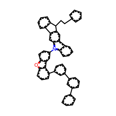 c1ccc(CCC2c3ccccc3-c3cc4c(cc32)c2ccccc2n4-c2ccc3oc4cccc(-c5cccc(-c6cccc(-c7ccccc7)c6)c5)c4c3c2)cc1